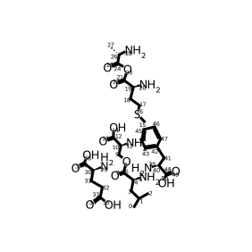 CC(C)C[C@H](N)C(=O)OC[C@H](N)C(=O)O.CSCC[C@H](N)C(=O)OC(=O)[C@H](C)N.N[C@@H](CCC(=O)O)C(=O)O.N[C@@H](Cc1ccccc1)C(=O)O